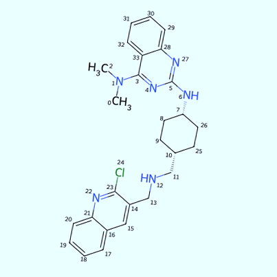 CN(C)c1nc(N[C@H]2CC[C@@H](CNCc3cc4ccccc4nc3Cl)CC2)nc2ccccc12